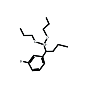 CCCO[SiH](OCCC)C(CCC)c1cccc(Br)c1